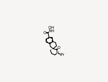 CC(C)N1CCC[C@]2(CCc3cc(C(=O)NO)ccc3C2)C1=O